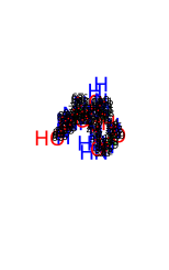 CC(CC1CN(c2ccc(Nc3cc(-c4ccc(C(=O)N5CCN(C)CC5)cc4F)nc4cc[nH]c(=O)c34)nc2)CCC1O)c1ccc(F)c(-c2cc(Nc3ccc(N4[C@@H](Cc5c(CN6CCCCC6)ccc(-c6cc(Nc7ccc(N8CCC(O)CC8)cn7)c7c(=O)[nH]ccc7n6)c5F)COC[C@@H]4C)cn3)c3c(=O)[nH]ccc3n2)c1